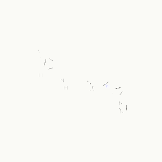 COc1ccc(CCN(C)CCCCNC(=O)C/C=C/c2ccc(-n3ccnc3)s2)cc1OC